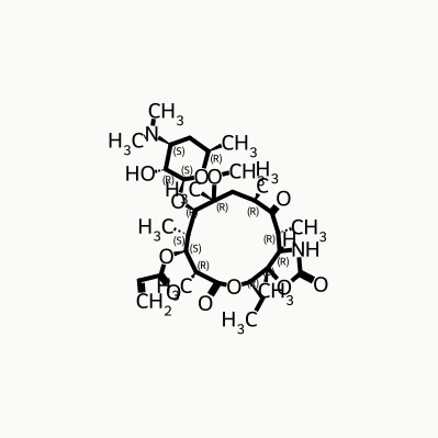 C=CC(=O)O[C@H]1[C@H](C)[C@@H](O[C@@H]2O[C@H](C)C[C@H](N(C)C)[C@H]2O)[C@](C)(OC)C[C@@H](C)C(=O)[C@H](C)[C@H]2NC(=O)O[C@]2(C)[C@@H](CC)OC(=O)[C@@H]1C